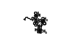 Cc1cc(C(=O)N[C@@H](CCCCC/C=C\C2CC2)C(=O)N2C[C@H](Oc3nc4c(F)cccc4nc3C)C[C@H]2C(=O)NCC(=O)NS(=O)(=O)C2(C)CC2)n[nH]1